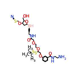 CC(C)(C)SSC(COc1cccc(C(=O)NCCN)c1)OCCOCC(=O)NCC#CB[C@H]1C[C@@H](OCSC#N)C(CO)O1